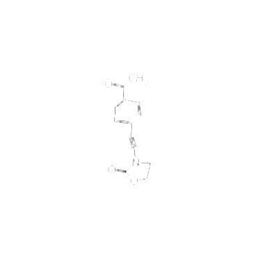 CC(=O)c1ccc(C#CN2CCOC2=O)cc1